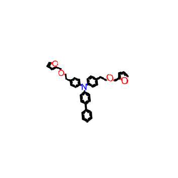 c1ccc(-c2ccc(N(c3ccc(CCOCc4ccco4)cc3)c3ccc(CCOCc4ccco4)cc3)cc2)cc1